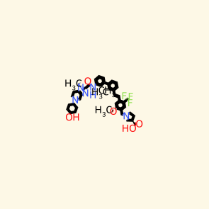 COc1cc(/C=C/c2cccc(-c3cccc(NC(=O)c4nc5c(n4C)CCN([C@H]4CC[C@@H](O)CC4)C5)c3C)c2C)c(C(F)(F)F)cc1CN1CC[C@@H](C(=O)O)C1